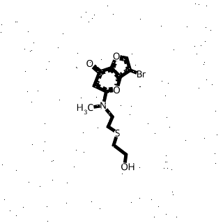 CN(CCSCCO)c1cc(=O)c2occ(Br)c2o1